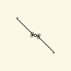 CC(C)CCCCCCCCCCCCCCCCCOC(=O)c1ccc(C(=O)OCCCCCCCCCCCCCCCCCC(C)C)cc1